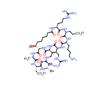 CCCCCCCCCCCCCCCC(=O)N[C@@H](CCCNC(=N)N)C(=O)N[C@@H](CCC(=O)O)C(=O)N[C@@H](CCCCN)C(=O)NC(CCCNC(=N)N)C(=O)N[C@@H](CCCNC(=N)N)C(=O)N[C@@H](CO)C(=O)N[C@@H](C)C(=O)N[C@@H](CC(=O)O)C(=O)N[C@H](C)[C@@H](C)CC